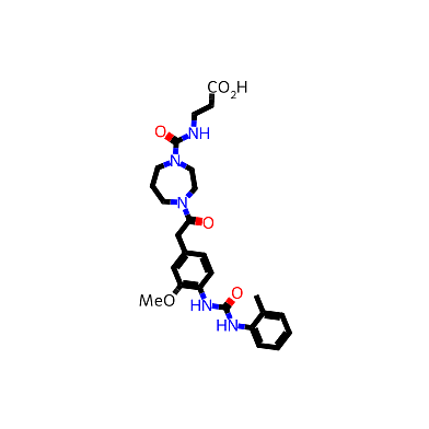 COc1cc(CC(=O)N2CCCN(C(=O)NCCC(=O)O)CC2)ccc1NC(=O)Nc1ccccc1C